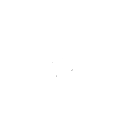 CCC(=O)c1occc1CC